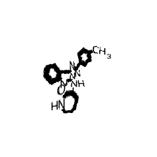 Cc1ccc(-c2nc3c4ccccc4nc(N[C@@H]4CCCCNC4=O)n3n2)cc1